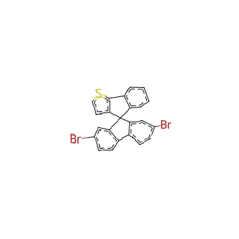 Brc1ccc2c(c1)C1(c3cc(Br)ccc3-2)c2ccccc2-c2sccc21